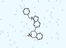 CN1Cc2ccccc2C(c2ccc3ccn(Cc4ccccc4)c3c2)C1